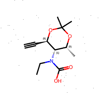 C#C[C@H]1OC(C)(C)O[C@H](C)[C@@H]1N(CC)C(=O)O